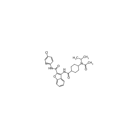 CC(=O)N(C(C)C)C1CCC(C(=O)Nc2c(C(=O)Nc3ccc(Cl)cn3)oc3ccccc23)CC1